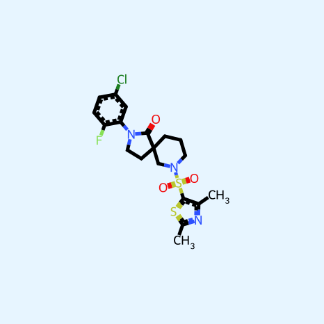 Cc1nc(C)c(S(=O)(=O)N2CCCC3(CCN(c4cc(Cl)ccc4F)C3=O)C2)s1